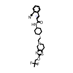 CC(F)(F)COc1nc2c(s1)CCN(CC[C@H]1CC[C@H](NC(=O)/C=C/c3ccccc3C#N)CC1)C2